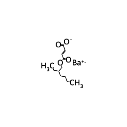 CCCCC(CC)COC(=O)C=CC(=O)[O-].[Ba+]